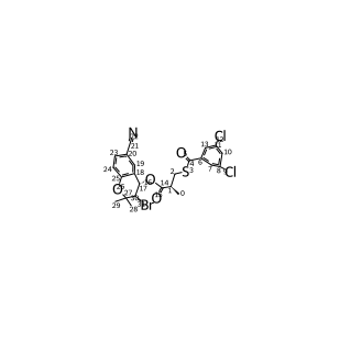 C[C@H](CSC(=O)c1cc(Cl)cc(Cl)c1)C(=O)O[C@H]1c2cc(C#N)ccc2OC(C)(C)[C@@H]1Br